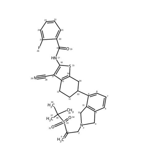 C=C(CN1Cc2cccc(C3CCc4c(sc(NC(=O)c5ccccc5F)c4C#N)C3)c2C1)S(=O)(=O)C(C)(C)C